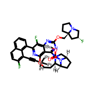 CC(C)[Si](C#Cc1c(F)ccc2cccc(-c3nc4c5c(nc(OC[C@@]67CCCN6C[C@H](F)C7)nc5c3F)N3C[C@H]5CC[C@@H]([C@H]3CCO4)N5C(=O)OC(C)(C)C)c12)(C(C)C)C(C)C